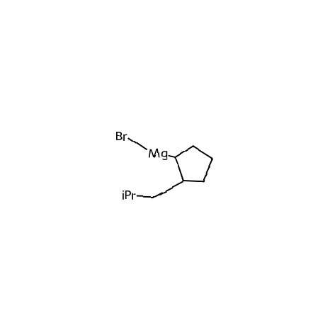 CC(C)CC1CCC[CH]1[Mg][Br]